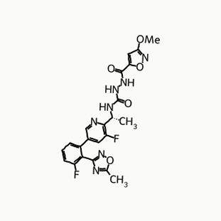 COc1cc(C(=O)NNC(=O)N[C@H](C)c2ncc(-c3cccc(F)c3-c3noc(C)n3)cc2F)on1